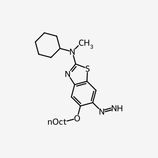 CCCCCCCCOc1cc2nc(N(C)C3CCCCC3)sc2cc1N=N